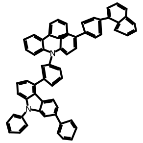 c1ccc(-c2ccc3c4c(-c5cccc(N(c6ccc(-c7ccc(-c8cccc9ccccc89)cc7)cc6)c6ccccc6-c6ccccc6)c5)cccc4n(-c4ccccc4)c3c2)cc1